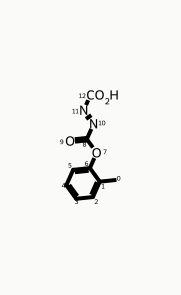 Cc1ccccc1OC(=O)N=NC(=O)O